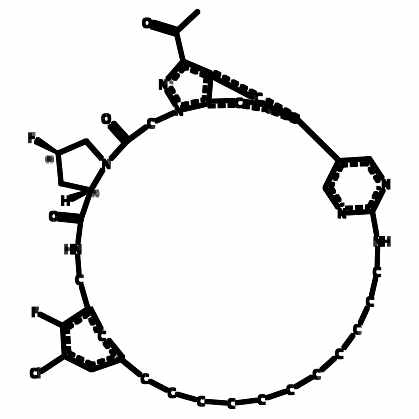 CC(=O)c1nn2c3ccc(cc13)-c1cnc(nc1)NCCCCCCCCCCCc1cc(Cl)c(F)c(c1)CNC(=O)[C@@H]1C[C@@H](F)CN1C(=O)C2